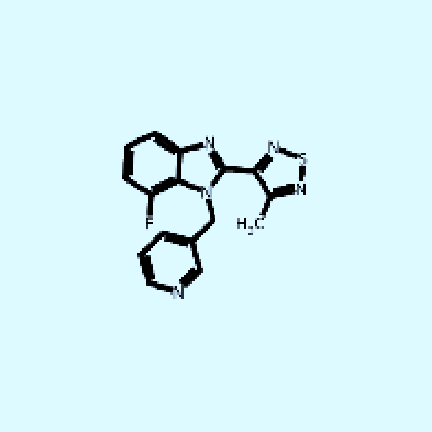 Cc1nsnc1-c1nc2cccc(F)c2n1Cc1cccnc1